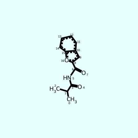 CC(C)C(=O)NC(=O)c1cc2ccccc2o1